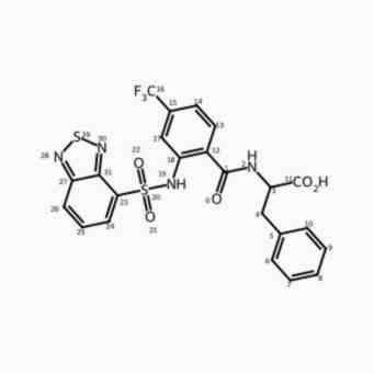 O=C(NC(Cc1ccccc1)C(=O)O)c1ccc(C(F)(F)F)cc1NS(=O)(=O)c1cccc2nsnc12